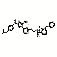 CN(C)Cc1ccc(Nc2nc(N)n(-c3ccnc(CCNC(=O)c4cccn(Cc5cccnc5)c4=O)n3)n2)cc1